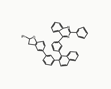 CC(C)C1Cc2cc(-c3cccc(-c4ccc5ccccc5c4-c4cccc(-c5nc(-c6ccccc6)nc6ccccc56)c4)c3)ccc2O1